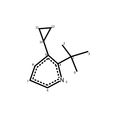 CC(C)(C)c1ncccc1C1CC1